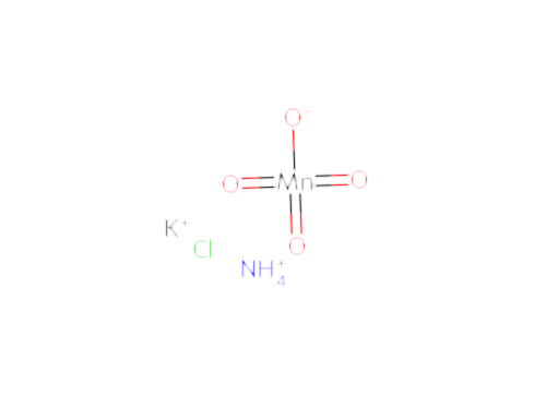 [Cl-].[K+].[NH4+].[O]=[Mn](=[O])(=[O])[O-]